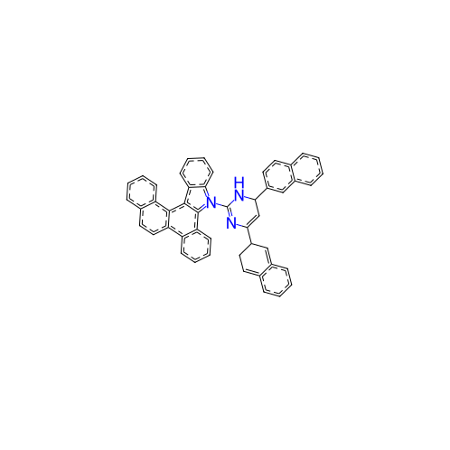 C1=C(C2C=c3ccccc3=CC2)N=C(n2c3ccccc3c3c4c5ccccc5ccc4c4ccccc4c32)NC1c1ccc2ccccc2c1